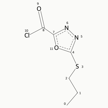 CCCSc1nnc(C(=O)Cl)o1